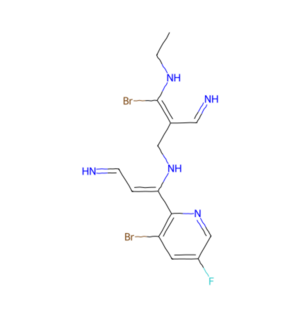 CCN/C(Br)=C(\C=N)CN/C(=C\C=N)c1ncc(F)cc1Br